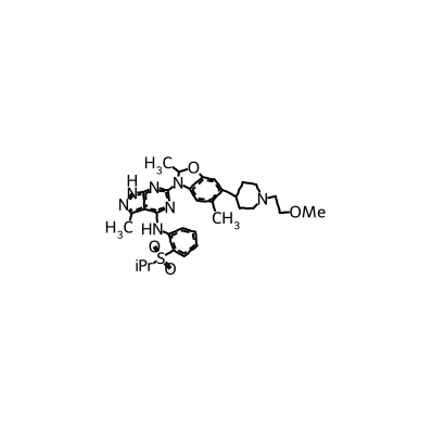 COCCN1CCC(c2cc3c(cc2C)N(c2nc(Nc4ccccc4S(=O)(=O)C(C)C)c4c(C)n[nH]c4n2)C(C)O3)CC1